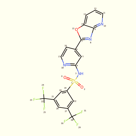 O=S(=O)(Nc1cc(-c2nc3ncccc3o2)ccn1)c1cc(C(F)(F)F)cc(C(F)(F)F)c1